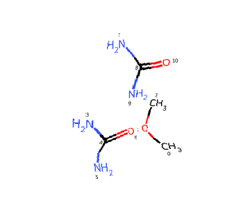 COC.NC(N)=O.NC(N)=O